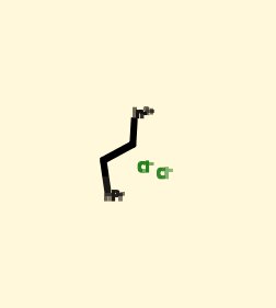 CCCC[CH2][In+2].[Cl-].[Cl-]